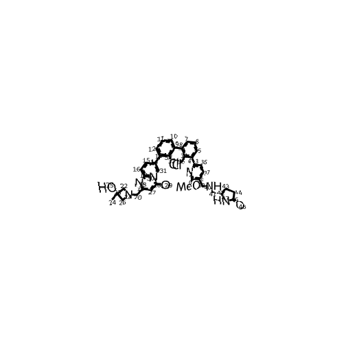 COc1nc(-c2cccc(-c3cccc(-c4ccc5nc(CN6CC(C)(O)C6)cc(=O)n5c4)c3Cl)c2Cl)ccc1CNC[C@@H]1CCC(=O)N1